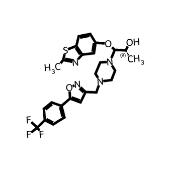 Cc1nc2cc(OC([C@@H](C)O)N3CCN(Cc4cc(-c5ccc(C(F)(F)F)cc5)on4)CC3)ccc2s1